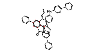 C=C/C=C(\C=C/N(c1ccc(-c2ccccc2)cc1)c1ccc(-c2ccccc2)cc1)c1cccc2c1-c1c(cccc1-c1ccc(Nc3ccc(-c4ccccc4)cc3)cc1)C2=O